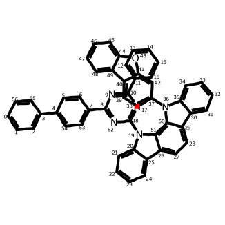 c1ccc(-c2ccc(-c3nc(-c4ccccc4)nc(-n4c5ccccc5c5ccc6c7ccccc7n(-c7ccc8c(c7)oc7ccccc78)c6c54)n3)cc2)cc1